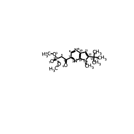 COP(=O)(CC(=O)c1cnc2cc(C(C)(C)C)n(C)c2n1)OC